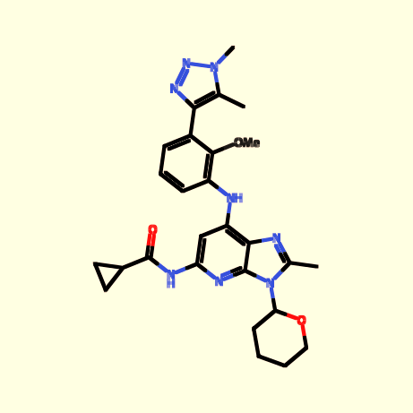 COc1c(Nc2cc(NC(=O)C3CC3)nc3c2nc(C)n3C2CCCCO2)cccc1-c1nnn(C)c1C